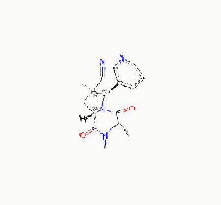 CC1C(=O)N2[C@@H](C[C@@](C)(C#N)[C@H]2c2cccnc2)C(=O)N1C